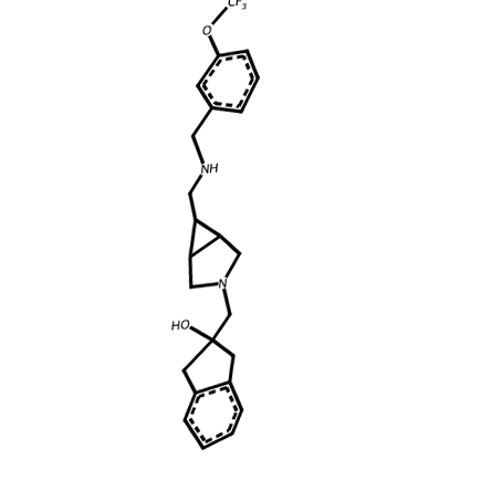 OC1(CN2CC3C(CNCc4cccc(OC(F)(F)F)c4)C3C2)Cc2ccccc2C1